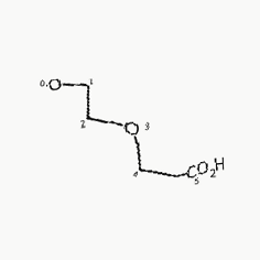 [O]CCOCC(=O)O